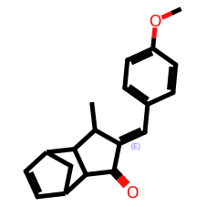 COc1ccc(/C=C2/C(=O)C3C4C=CC(C4)C3C2C)cc1